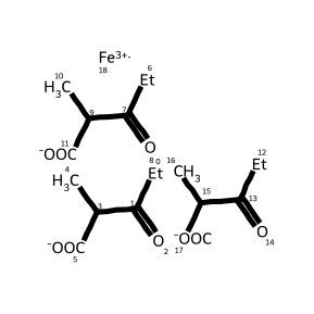 CCC(=O)C(C)C(=O)[O-].CCC(=O)C(C)C(=O)[O-].CCC(=O)C(C)C(=O)[O-].[Fe+3]